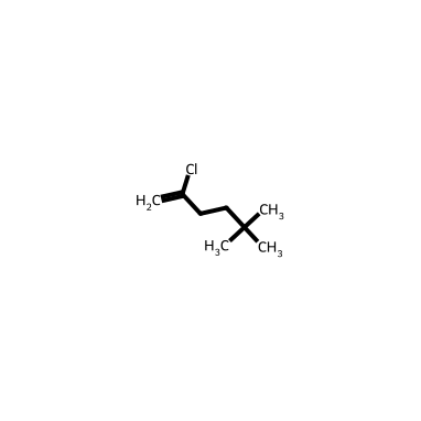 C=C(Cl)CCC(C)(C)C